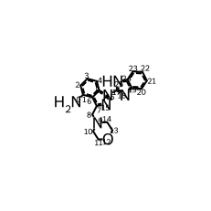 Nc1cccc2c1c(CN1CCOCC1)nn2-c1nc2ccccc2[nH]1